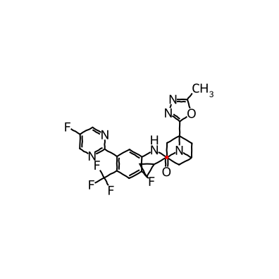 Cc1nnc(C23CC(C4CC4)CC(C2)N3C(=O)Nc2cc(-c3ncc(F)cn3)c(C(F)(F)F)cc2F)o1